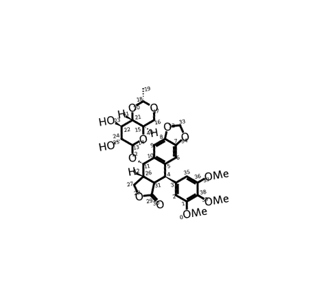 COc1cc([C@@H]2c3cc4c(cc3[C@@H](OC3O[C@@H]5CO[C@@H](C)O[C@H]5[C@H](O)[C@H]3O)[C@H]3COC(=O)C23)OCO4)cc(OC)c1OC